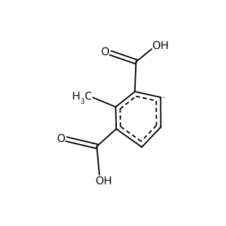 Cc1c(C(=O)O)[c]ccc1C(=O)O